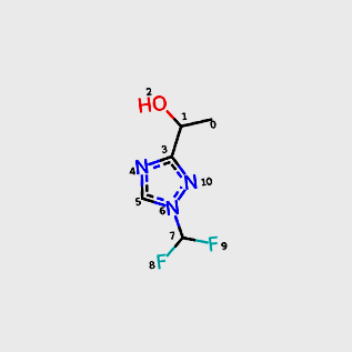 CC(O)c1ncn(C(F)F)n1